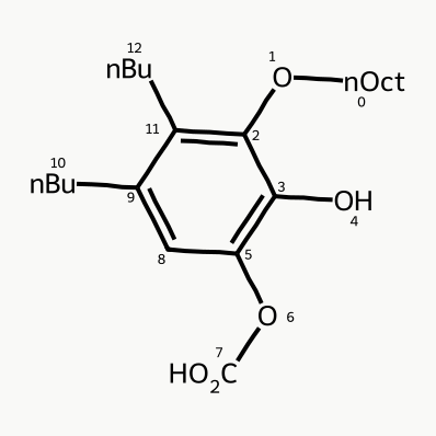 CCCCCCCCOc1c(O)c(OC(=O)O)cc(CCCC)c1CCCC